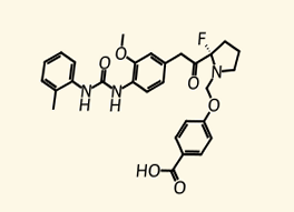 COc1cc(CC(=O)[C@@]2(F)CCCN2COc2ccc(C(=O)O)cc2)ccc1NC(=O)Nc1ccccc1C